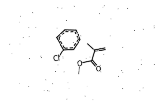 C=C(C)C(=O)OC.Clc1ccccc1